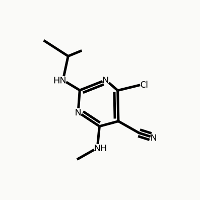 CNc1nc(NC(C)C)nc(Cl)c1C#N